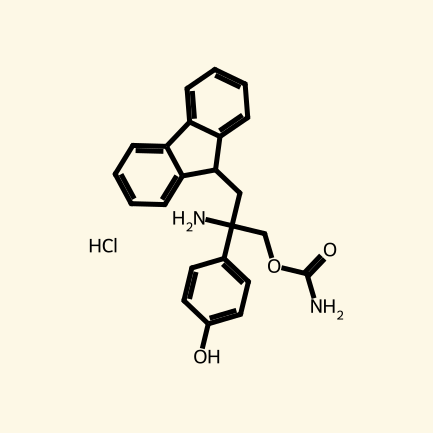 Cl.NC(=O)OCC(N)(CC1c2ccccc2-c2ccccc21)c1ccc(O)cc1